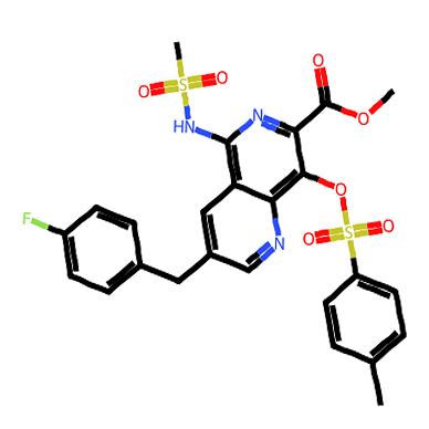 COC(=O)c1nc(NS(C)(=O)=O)c2cc(Cc3ccc(F)cc3)cnc2c1OS(=O)(=O)c1ccc(C)cc1